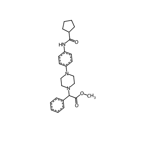 COC(=O)C(c1ccccc1)N1CCN(c2ccc(NC(=O)C3CCCC3)cc2)CC1